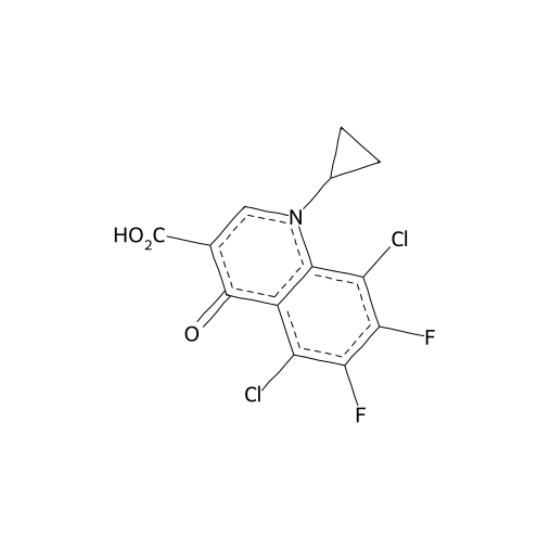 O=C(O)c1cn(C2CC2)c2c(Cl)c(F)c(F)c(Cl)c2c1=O